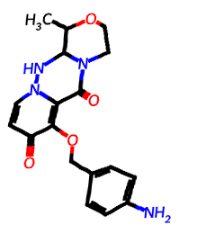 CC1OCCN2C(=O)c3c(OCc4ccc(N)cc4)c(=O)ccn3NC12